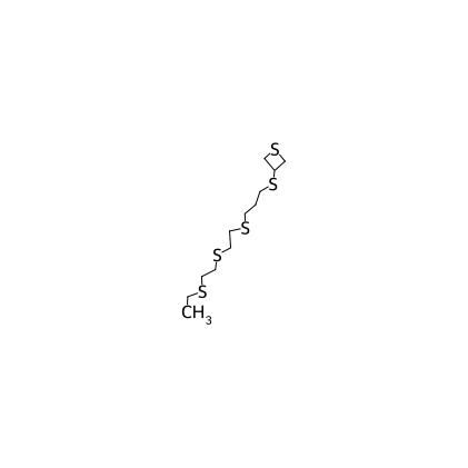 CCSCCSCCSCCCSC1CSC1